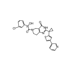 O=C([C@H](O)c1cccc(Cl)c1)N1CCc2nc(C3(c4cc(-c5cccnc5)cs4)CC3)[nH]c(=O)c2C1